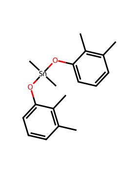 Cc1cccc([O][Sn]([CH3])([CH3])[O]c2cccc(C)c2C)c1C